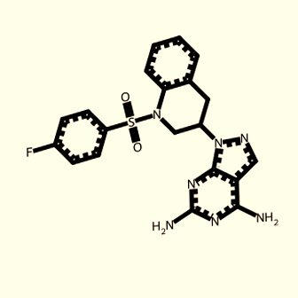 Nc1nc(N)c2cnn(C3Cc4ccccc4N(S(=O)(=O)c4ccc(F)cc4)C3)c2n1